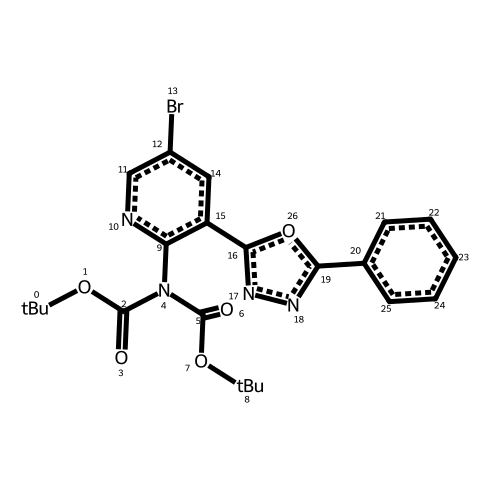 CC(C)(C)OC(=O)N(C(=O)OC(C)(C)C)c1ncc(Br)cc1-c1nnc(-c2ccccc2)o1